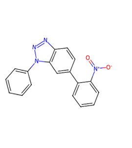 O=[N+]([O-])c1ccccc1-c1ccc2nnn(-c3ccccc3)c2c1